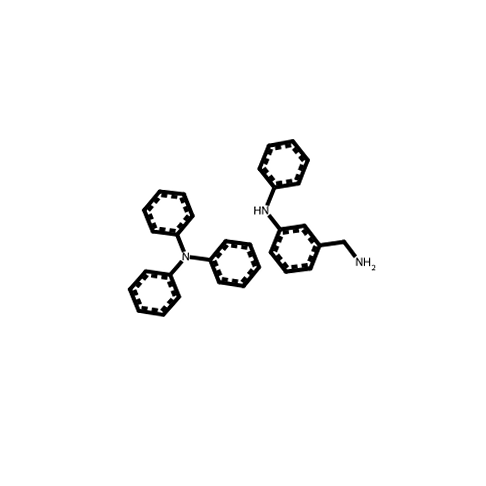 NCc1cccc(Nc2ccccc2)c1.c1ccc(N(c2ccccc2)c2ccccc2)cc1